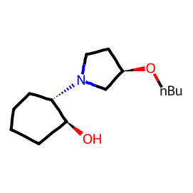 CCCCO[C@@H]1CCN([C@H]2CCCC[C@@H]2O)C1